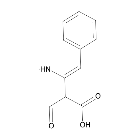 [NH]C(=Cc1ccccc1)C(C=O)C(=O)O